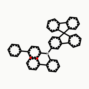 c1ccc(-c2ccc(N(c3ccc4c(c3)-c3ccccc3C43c4ccccc4-c4ccccc43)c3ccccc3-c3ccccc3)cc2)cc1